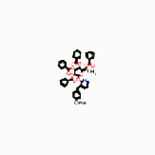 COc1ccc(Cc2cccnc2O[C@@H]2O[C@H]([C@@H](C)OC(=O)c3ccccc3)[C@@H](OC(=O)c3ccccc3)[C@H](OC(=O)c3ccccc3)[C@H]2OC(=O)c2ccccc2)cc1